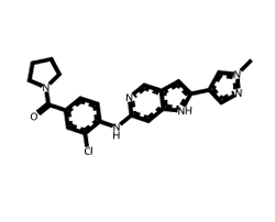 Cn1cc(-c2cc3cnc(Nc4ccc(C(=O)N5CCCC5)cc4Cl)cc3[nH]2)cn1